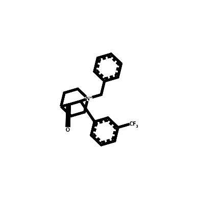 O=C1C2CC[N+](Cc3ccccc3)(CC2)C1c1cccc(C(F)(F)F)c1